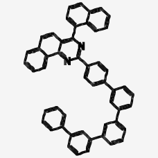 c1ccc(-c2cccc(-c3cccc(-c4cccc(-c5ccc(-c6nc(-c7cccc8ccccc78)c7ccc8ccccc8c7n6)cc5)c4)c3)c2)cc1